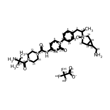 CC(Cc1ccc(-n2ccc(NC(=O)N3CCN(C(=O)C(C)(C)N)CC3)nc2=O)cc1)[N+]1(C)CC2C(CN)C2C1.O=C([O-])C(F)(F)F